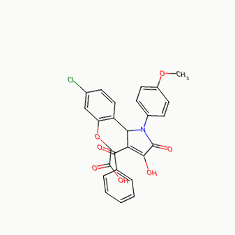 COc1ccc(N2C(=O)C(O)=C(C(=O)c3ccccc3)C2c2ccc(Cl)cc2OCC(=O)O)cc1